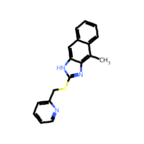 Cc1c2ccccc2cc2[nH]c(SCc3ccccn3)nc12